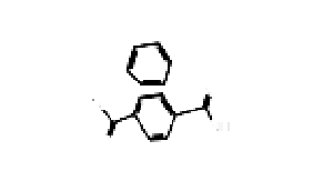 NC(=O)c1ccc(C(N)=O)cc1.c1ccccc1